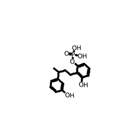 CC(CCc1c(O)cccc1OP(=O)(O)O)c1cccc(O)c1